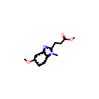 COC(=O)CCc1nc2cc(OC)ccc2n1C